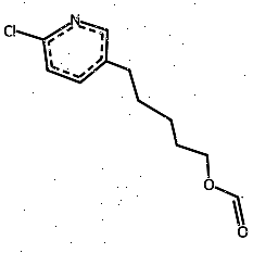 O=[C]OCCCCCc1ccc(Cl)nc1